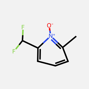 Cc1cccc(C(F)F)[n+]1[O-]